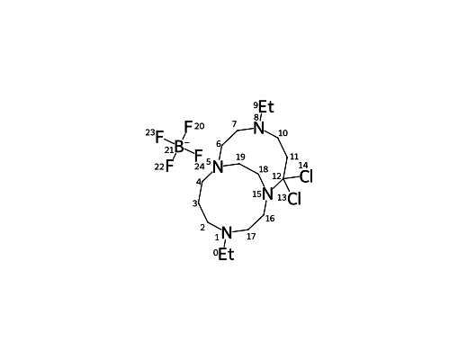 CCN1CCCN2CCN(CC)CCC(Cl)(Cl)N(CC1)CC2.F[B-](F)(F)F